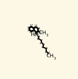 CCCCCCCCCCNc1c(C)ccc2ccccc12